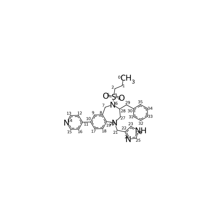 CCCS(=O)(=O)N1Cc2cc(-c3ccncc3)ccc2N(Cc2c[nH]cn2)CC1Cc1ccccc1